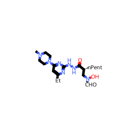 CCCCC[C@H](CN(O)C=O)C(=O)NNc1nc(CC)cc(N2CCN(C)CC2)n1